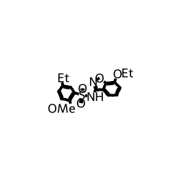 CCOc1cccc2c(NS(=O)(=O)c3cc(CC)ccc3OC)noc12